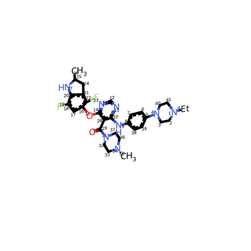 CCN1CCN(c2ccc(Nc3ncnc(Oc4cc(F)c5c(c4F)CC(C)N5)c3C(=O)N3CCN(C)CC3)cc2)CC1